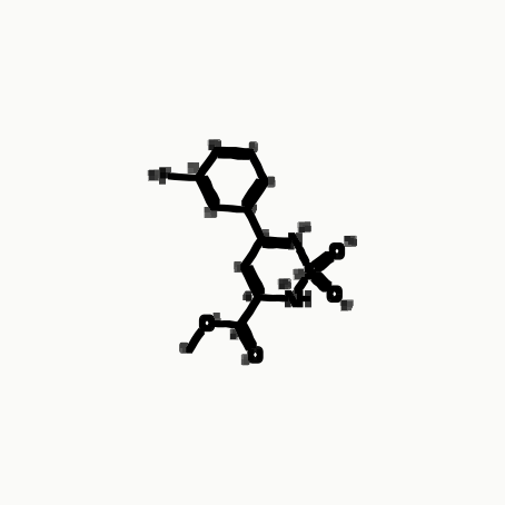 COC(=O)C1=CC(c2cccc(F)c2)=NS(=O)(=O)N1